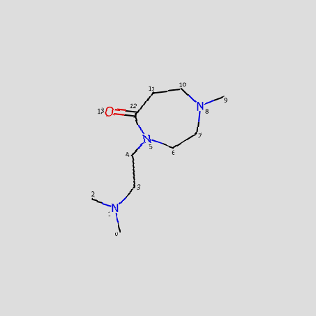 CN(C)CCN1CCN(C)CCC1=O